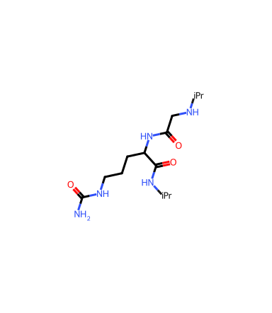 CC(C)NCC(=O)NC(CCCNC(N)=O)C(=O)NC(C)C